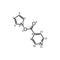 O=C(On1cccc1)c1ccncc1